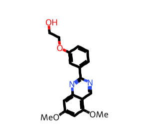 COc1cc(OC)c2cnc(-c3cccc(OCCO)c3)nc2c1